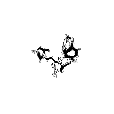 Cc1cncn1CCCNC(=C[N+](=O)[O-])Nc1ccc2c(c1)OCO2